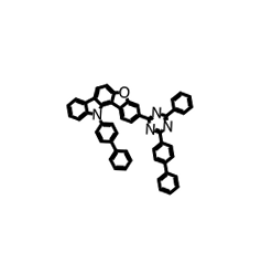 c1ccc(-c2ccc(-c3nc(-c4ccccc4)nc(-c4ccc5c(c4)oc4ccc6c7ccccc7n(-c7ccc(-c8ccccc8)cc7)c6c45)n3)cc2)cc1